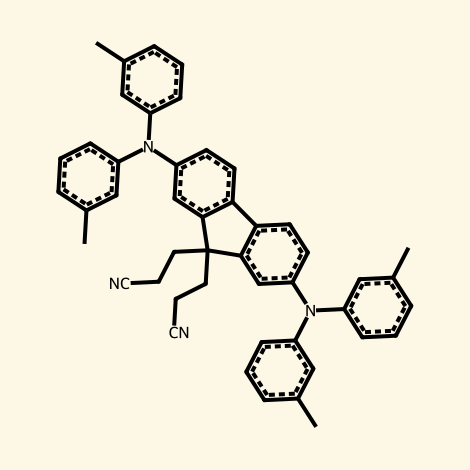 Cc1cccc(N(c2cccc(C)c2)c2ccc3c(c2)C(CCC#N)(CCC#N)c2cc(N(c4cccc(C)c4)c4cccc(C)c4)ccc2-3)c1